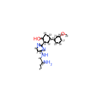 CC[C@H](N)CNc1ccnc(-c2cc(-c3cccc(OC)c3)ccc2O)n1